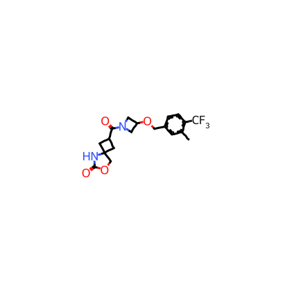 Cc1cc(COC2CN(C(=O)C3CC4(COC(=O)N4)C3)C2)ccc1C(F)(F)F